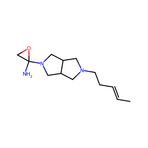 C/C=C/CCN1CC2CN(C3(N)CO3)CC2C1